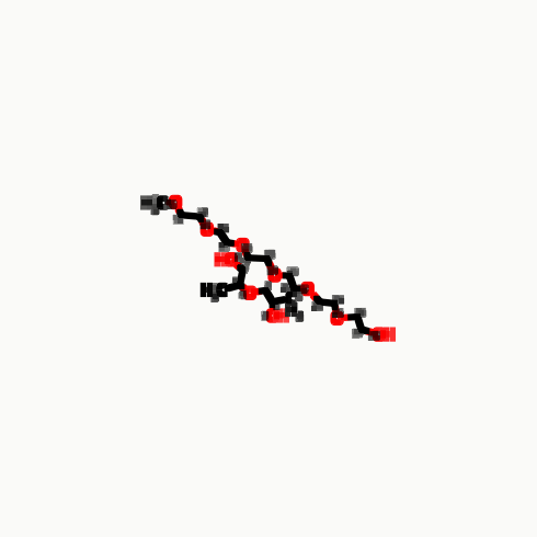 CC(O)COC(C)CO.COCCOCCOCCOCCOCCOCCO